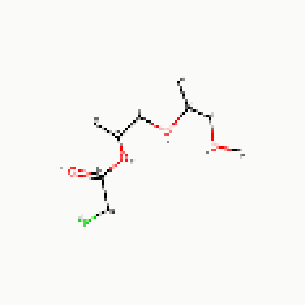 COCC(C)OCC(C)OC(=O)CCl